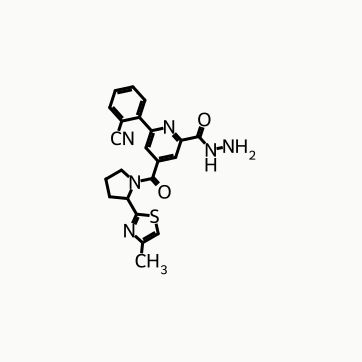 Cc1csc(C2CCCN2C(=O)c2cc(C(=O)NN)nc(-c3ccccc3C#N)c2)n1